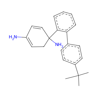 CC(C)(C)c1ccc(-c2ccccc2C2(N)C=CC(N)=CC2)cc1